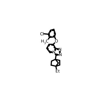 CCC12CCC(c3nnc4c(Oc5cccc(Cl)c5C)cccn34)(CC1)C2